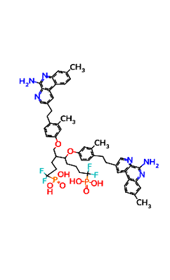 Cc1ccc2c(c1)nc(N)c1ncc(CCc3ccc(OCC(CCC(F)(F)P(=O)(O)O)C(CCCC(F)(F)P(=O)(O)O)Oc4ccc(CCc5cnc6c(N)nc7cc(C)ccc7c6c5)c(C)c4)cc3C)cc12